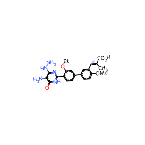 CCOc1cc(-c2ccc(OC)c(/C=C(\C)C(=O)O)c2)ccc1-c1nc(NN)c(N)c(=O)[nH]1